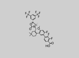 COc1cc(F)c(-c2ccc(C(=O)O)c(F)c2F)cc1C1=C(CN2C(=O)O[C@H](c3cc(C(F)(F)F)cc(C(F)(F)F)c3)[C@@H]2C)CC(C)(C)CC1